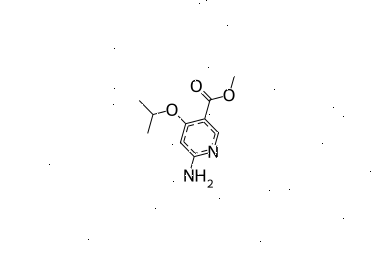 COC(=O)c1cnc(N)cc1OC(C)C